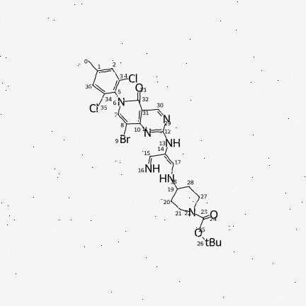 Cc1cc(Cl)c(-n2cc(Br)c3nc(N/C(C=N)=C/NC4CCN(C(=O)OC(C)(C)C)CC4)ncc3c2=O)c(Cl)c1